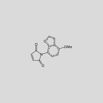 COc1ccc(N2C(=O)C=CC2=O)c2occc12